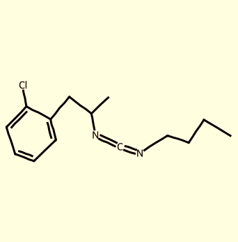 CCCCN=C=NC(C)Cc1ccccc1Cl